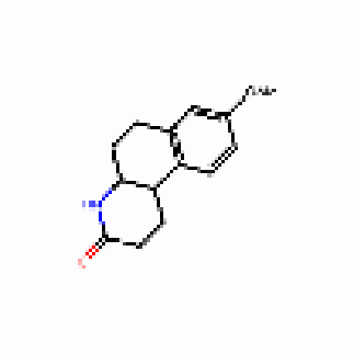 COc1ccc2c(c1)CCC1NC(=O)CCC21